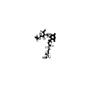 Cc1cc(C)c(C(C)(C)CC(=O)NCCCS(=O)(=O)O)c(ON[C@H](C(=O)C(=O)OC(C)(C)C)C(C)C)c1